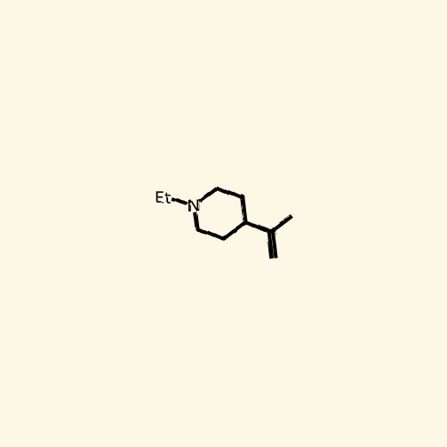 C=C(C)C1CCN(CC)CC1